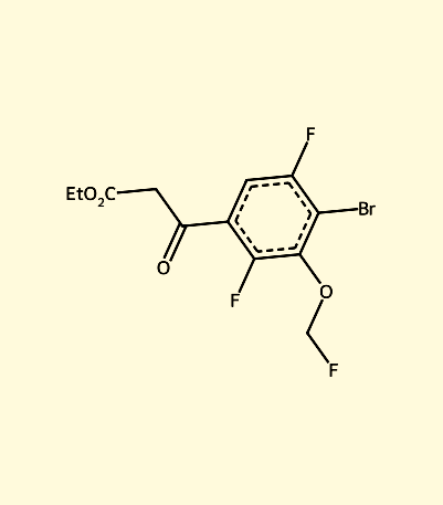 CCOC(=O)CC(=O)c1cc(F)c(Br)c(OCF)c1F